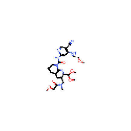 COCCNc1cc(NC(=O)N2CCCc3cc(CN(C)C(=O)COC)c(C(OC)OC)nc32)ncc1C#N